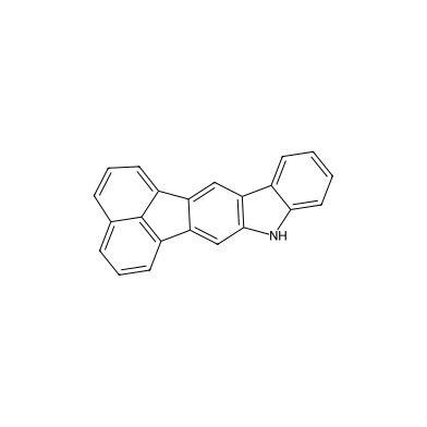 c1cc2c3c(cccc3c1)-c1cc3c(cc1-2)[nH]c1ccccc13